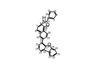 c1ccc(C2Nc3ccc4cc(-c5cccc6c5oc5ccccc56)ccc4c3O2)cc1